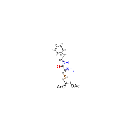 CC(=O)OC[C@H](CSC[C@H](N)C(=O)NCCc1ccccc1)OC(C)=O